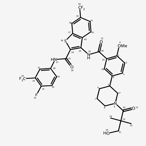 COc1ccc(C2CCCN(C(=O)C(C)(C)CO)C2)cc1C(=O)Nc1c(C(=O)Nc2ccc(F)c(C(F)(F)F)c2)sc2cc(C(F)(F)F)ccc12